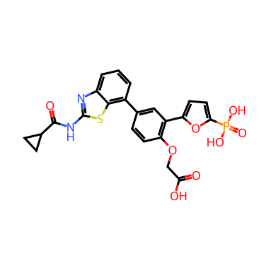 O=C(O)COc1ccc(-c2cccc3nc(NC(=O)C4CC4)sc23)cc1-c1ccc(P(=O)(O)O)o1